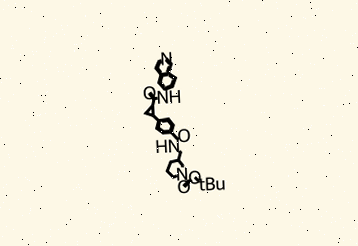 CC(C)(C)OC(=O)N1CCCC(CNC(=O)c2ccc(C3CC3C(=O)Nc3ccc4cnccc4c3)cc2)C1